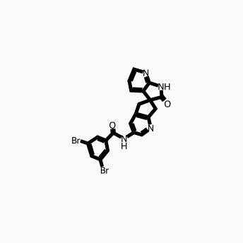 O=C(Nc1cnc2c(c1)CC1(C2)C(=O)Nc2ncccc21)c1cc(Br)cc(Br)c1